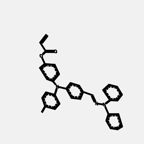 C=CC(=O)Oc1ccc(N(c2ccc(C)cc2)c2ccc(/C=N/N(c3ccccc3)c3ccccc3)cc2)cc1